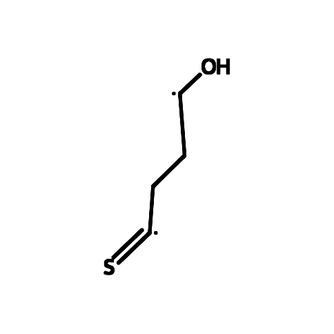 O[CH]CC[C]=S